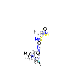 C=C/C=C(\C=C/CF)c1c(-c2cccc(N3CCN(c4ccc(NSC5C=C(S)[C@@](C)(NSc6ccccc6)CC5)cc4)CC3)c2)c(C)c(C)n1C